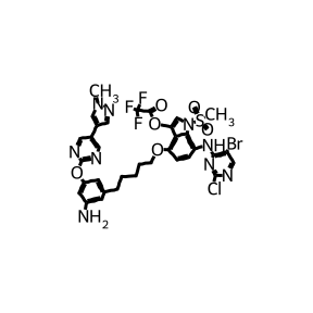 Cn1cc(-c2cnc(Oc3cc(N)cc(CCCCCOc4ccc(Nc5nc(Cl)ncc5Br)c5c4c(OC(=O)C(F)(F)F)cn5S(C)(=O)=O)c3)nc2)cn1